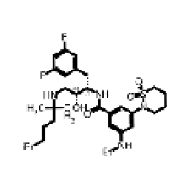 CCNc1cc(C(=O)N[C@@H](Cc2cc(F)cc(F)c2)[C@H](O)CNC(C)(C)CCCC(C)C)cc(N2CCCCS2(=O)=O)c1